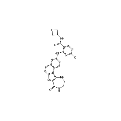 O=C(NC1COC1)c1cnc(Cl)nc1Nc1ccc2c(ccc3sc4c(c32)NCCNC4=O)n1